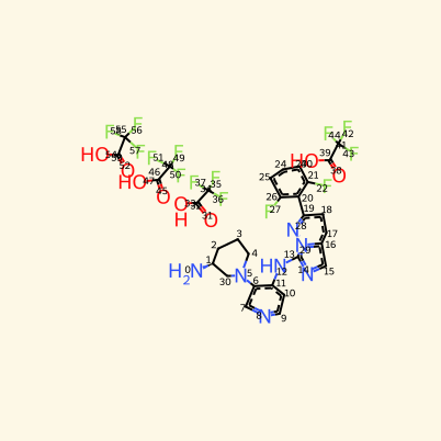 N[C@H]1CCCN(c2cnccc2Nc2ncc3ccc(-c4c(F)cccc4F)nn23)C1.O=C(O)C(F)(F)F.O=C(O)C(F)(F)F.O=C(O)C(F)(F)F.O=C(O)C(F)(F)F